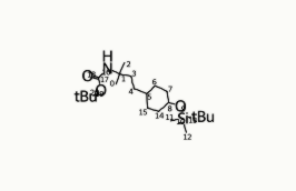 CC(C)(CCC1CCC(O[Si](C)(C)C(C)(C)C)CC1)NC(=O)OC(C)(C)C